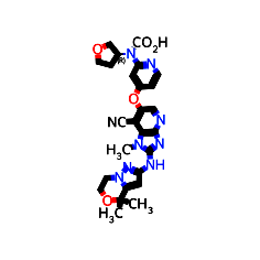 Cn1c(Nc2cc3n(n2)CCOC3(C)C)nc2ncc(Oc3ccnc(N(C(=O)O)[C@@H]4CCOC4)c3)c(C#N)c21